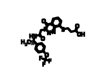 C[C@H](NC(=O)Cn1nnc2c(SCCC(=O)O)cccc2c1=O)c1ccc(OC(F)(F)F)cc1